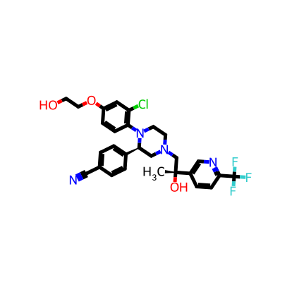 C[C@@](O)(CN1CCN(c2ccc(OCCO)cc2Cl)[C@H](c2ccc(C#N)cc2)C1)c1ccc(C(F)(F)F)nc1